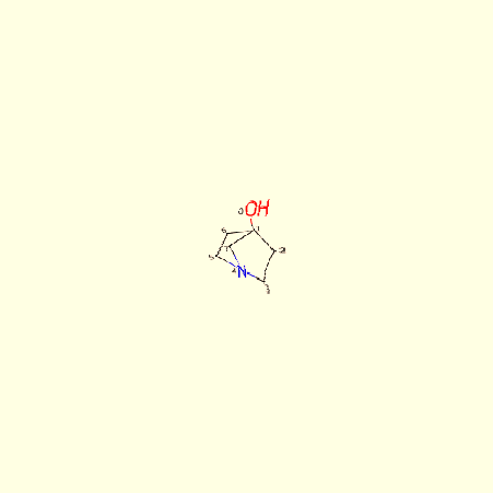 OC12CCN(CC1)C2